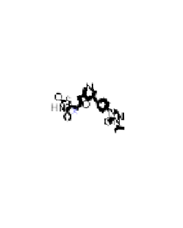 CC(C)n1ncn(-c2ccc(-c3cncc4cc(/C=C5\SC(=O)NC5=O)oc34)cc2)c1=O